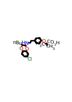 CCCCC(Oc1ccc(Cl)cc1)C(=O)NCCc1ccc(OC(C)(C)C(=O)O)cc1